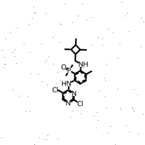 Cc1ccc(Nc2nc(Cl)ncc2Cl)c(P(C)(C)=O)c1NCC1C(C)C(C)C1C